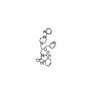 O=C1[C@H]2CC=CC[C@H]2C(=O)N1CC(CN1CCN(c2ccccn2)CC1)OCc1cccnc1